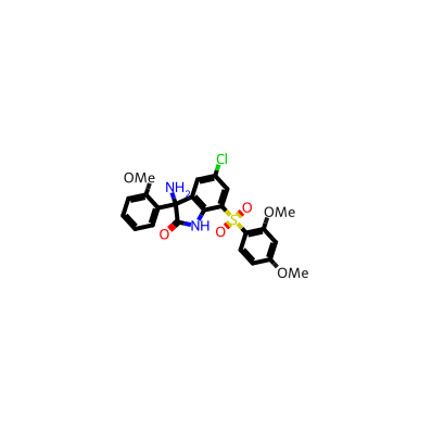 COc1ccc(S(=O)(=O)c2cc(Cl)cc3c2NC(=O)C3(N)c2ccccc2OC)c(OC)c1